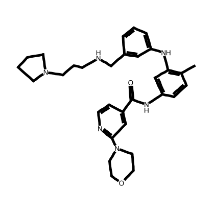 Cc1ccc(NC(=O)c2ccnc(N3CCOCC3)c2)cc1Nc1cccc(CNCCCN2CCCC2)c1